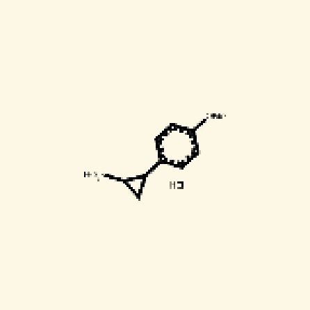 COc1ccc(C2CC2S(=O)(=O)O)cc1.Cl